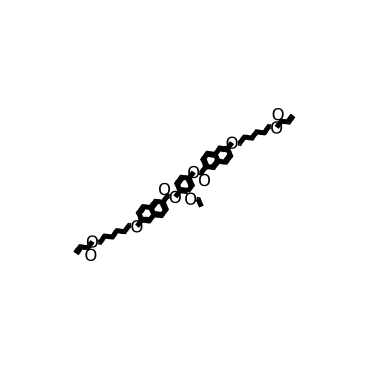 C=CC(=O)OCCCCCCOc1ccc2cc(C(=O)Oc3ccc(OC(=O)c4ccc5cc(OCCCCCCOC(=O)C=C)ccc5c4)c(OCC)c3)ccc2c1